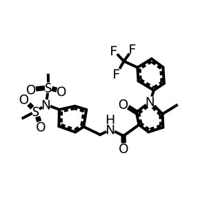 Cc1ccc(C(=O)NCc2ccc(N(S(C)(=O)=O)S(C)(=O)=O)cc2)c(=O)n1-c1cccc(C(F)(F)F)c1